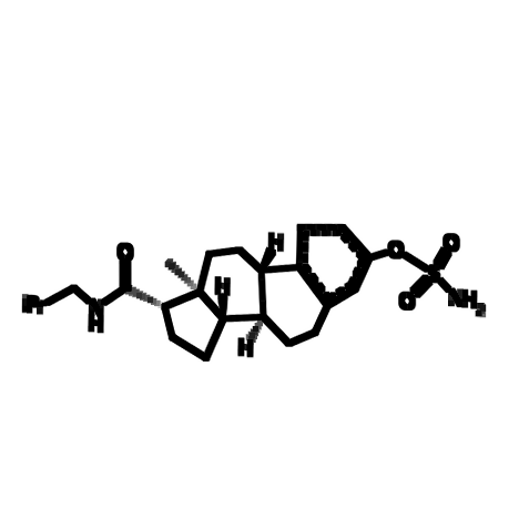 CC(C)CNC(=O)[C@H]1CC[C@H]2[C@@H]3CCc4cc(OS(N)(=O)=O)ccc4[C@H]3CC[C@]12C